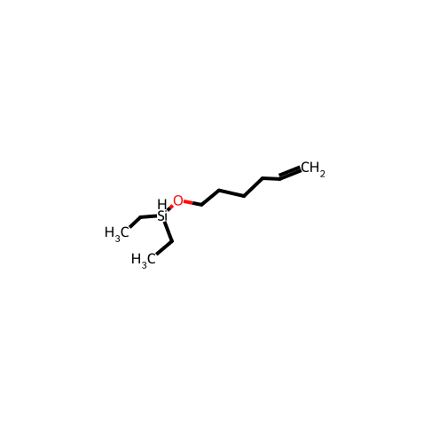 C=CCCCCO[SiH](CC)CC